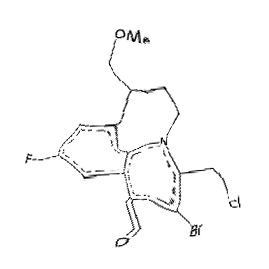 COCC1CCn2c(CCl)c(Br)c(=O)c3cc(F)cc1c32